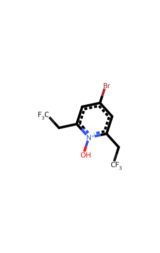 O[n+]1c(CC(F)(F)F)cc(Br)cc1CC(F)(F)F